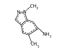 Cc1cc2cnn(C)c2cc1N